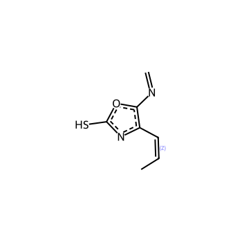 C=Nc1oc(S)nc1/C=C\C